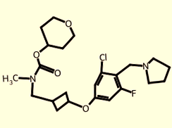 CN(CC1CC(Oc2cc(F)c(CN3CCCC3)c(Cl)c2)C1)C(=O)OC1CCOCC1